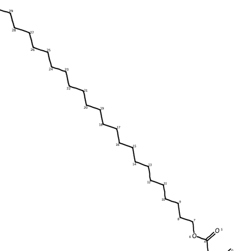 CC=C(C)C(=O)OCCCCCCCCCCCCCCCCCCCCCCCO